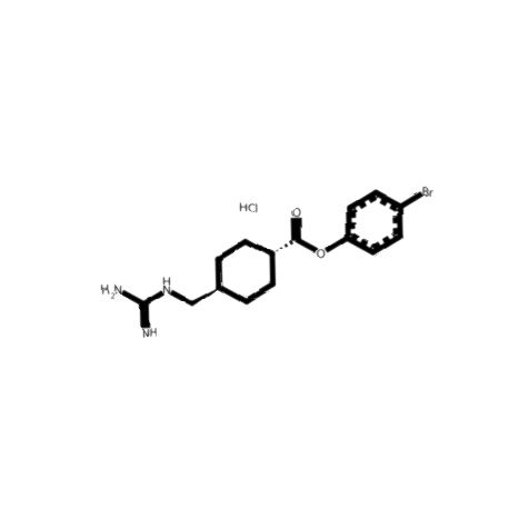 Cl.N=C(N)NC[C@H]1CC[C@H](C(=O)Oc2ccc(Br)cc2)CC1